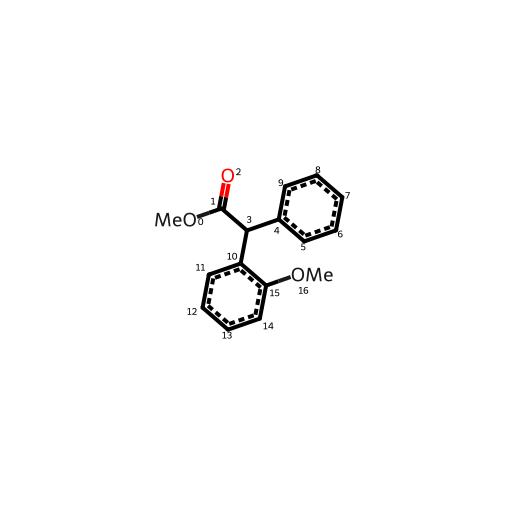 COC(=O)C(c1ccccc1)c1ccccc1OC